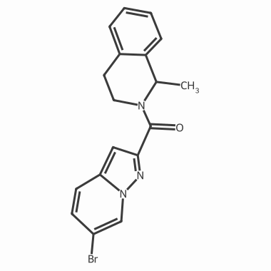 CC1c2ccccc2CCN1C(=O)c1cc2ccc(Br)cn2n1